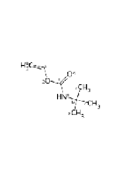 C=COC(=O)NC(C)(C)C